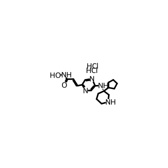 Cl.Cl.O=C(/C=C/c1cnc(N[C@@]2(C3CCCC3)CCCNC2)cn1)NO